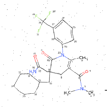 CC1=C(C(=O)N(C)C)CC(CC2CCCCC2)(C(N)=O)C(=O)N1c1cccc(C(F)(F)F)c1